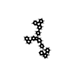 c1ccc(N(c2ccc(-c3ccc4c(c3)c3cc(-c5cccc6ccccc56)ccc3n4-c3ccc(-c4ccc5c6ccccc6c6ccccc6c5c4)cc3)cc2)c2cccc3sc4ccccc4c23)cc1